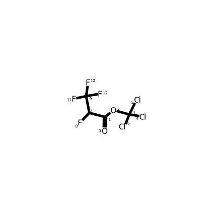 O=C(OC(Cl)(Cl)Cl)C(F)C(F)(F)F